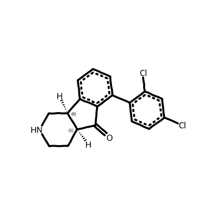 O=C1c2c(-c3ccc(Cl)cc3Cl)cccc2[C@@H]2CNCC[C@H]12